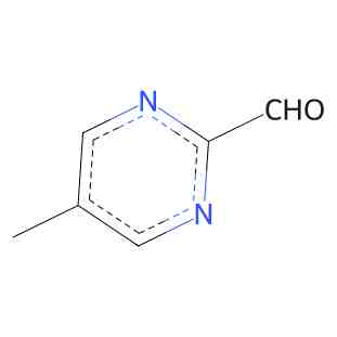 Cc1cnc(C=O)nc1